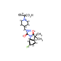 CC1(C)C(=O)N(C(=O)NCC2CCN(C(C(=O)O)C(C)(C)C)CC2)c2cc(F)ccc21